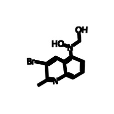 Cc1nc2cccc(N(O)CO)c2cc1Br